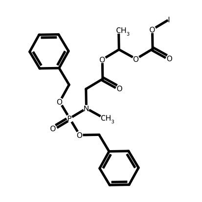 CC(OC(=O)CN(C)P(=O)(OCc1ccccc1)OCc1ccccc1)OC(=O)OI